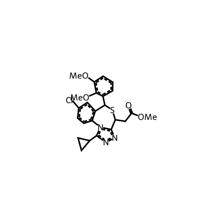 COC(=O)CC1SC(c2cccc(OC)c2OC)c2cc(Cl)ccc2-n2c(C3CC3)nnc21